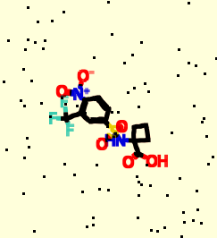 O=C(O)C1(NS(=O)(=O)c2ccc([N+](=O)[O-])c(C(F)(F)F)c2)CCC1